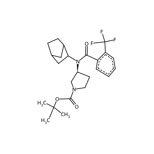 CC(C)(C)OC(=O)N1CC[C@H](N(C(=O)c2ccccc2C(F)(F)F)C2CC3CCC2C3)C1